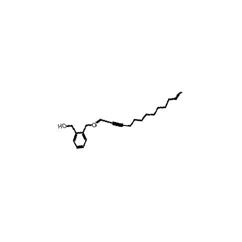 CCCCCCCCCCC#CCOCc1ccccc1CO